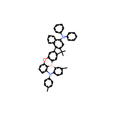 Cc1ccc(N2c3ccc(C)cc3B3c4cc5c(cc4Oc4cccc2c43)-c2c(cc(N(c3ccccc3)c3ccccc3)c3ccccc23)C5(C)C)cc1